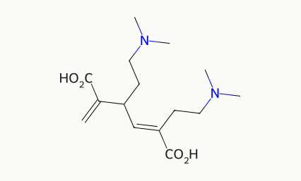 C=C(C(=O)O)C(C=C(CCN(C)C)C(=O)O)CCN(C)C